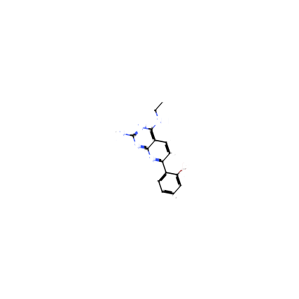 CCNc1nc(N)nc2nc(-c3ccccc3Br)ccc12